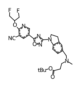 CN(CCC(=O)OC(C)(C)C)Cc1ccc2c(c1)CCN2c1noc(-c2cnc(OC(CF)CF)c(C#N)c2)n1